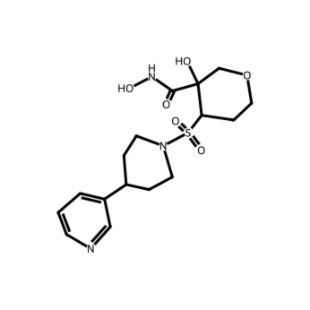 O=C(NO)C1(O)COCCC1S(=O)(=O)N1CCC(c2cccnc2)CC1